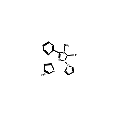 NN1C(c2ccccc2)=NN([c-]2cccc2)C1S.[Fe+2].c1cc[cH-]c1